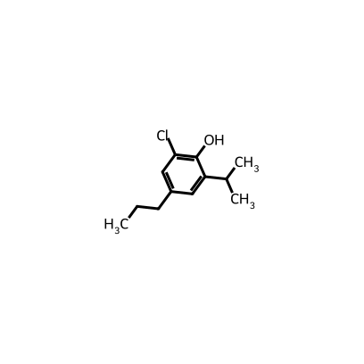 CCCc1cc(Cl)c(O)c(C(C)C)c1